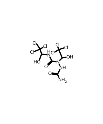 NC(=O)NN(C(=O)NC(O)C(Cl)(Cl)Cl)C(O)C(Cl)(Cl)Cl